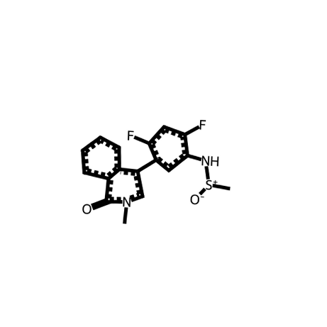 Cn1cc(-c2cc(N[S+](C)[O-])c(F)cc2F)c2ccccc2c1=O